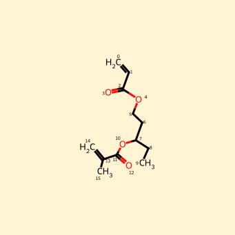 C=CC(=O)OC[CH]C(CC)OC(=O)C(=C)C